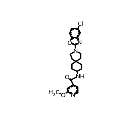 COc1cc(C(=O)NC2CCC3(CC2)CCN(c2nc4cc(Cl)ccc4o2)CC3)ccn1